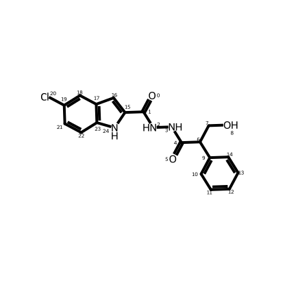 O=C(NNC(=O)C(CO)c1ccccc1)c1cc2cc(Cl)ccc2[nH]1